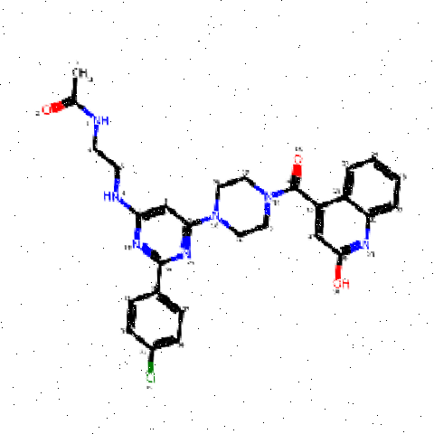 CC(=O)NCCNc1cc(N2CCN(C(=O)c3cc(O)nc4ccccc34)CC2)nc(-c2ccc(Cl)cc2)n1